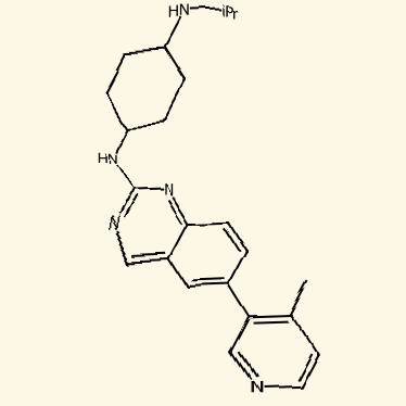 Cc1ccncc1-c1ccc2nc(NC3CCC(NC(C)C)CC3)ncc2c1